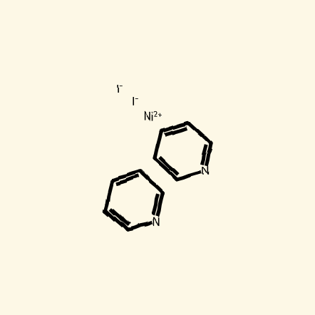 [I-].[I-].[Ni+2].c1ccncc1.c1ccncc1